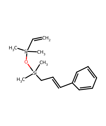 C=C[Si](C)(C)O[Si](C)(C)C/C=C/c1ccccc1